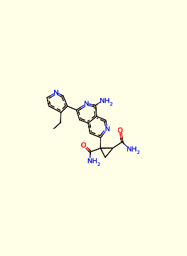 CCc1ccncc1-c1cc2cc(C3(C(N)=O)CC3C(N)=O)ncc2c(N)n1